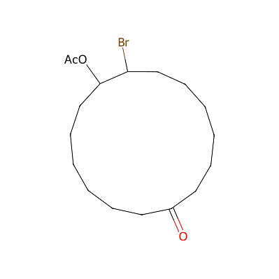 CC(=O)OC1CCCCCCC(=O)CCCCCCC1Br